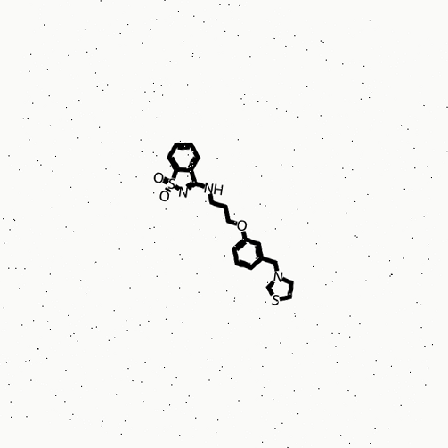 O=S1(=O)N=C(NCCCOc2cccc(CN3CCSC3)c2)c2ccccc21